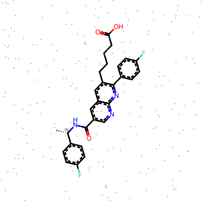 C[C@H](NC(=O)c1cnc2nc(-c3ccc(F)cc3)c(CCCCC(=O)O)cc2c1)c1ccc(F)cc1